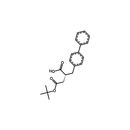 CC(C)(C)OC(=O)C[C@@H](Cc1ccc(-c2ccccc2)cc1)C(=O)O